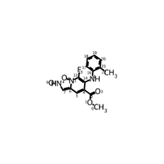 COC(=O)C1=CC2=C[NH+]([O-])ON2C(F)=C1Nc1ccccc1C